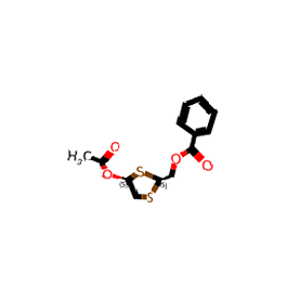 CC(=O)O[C@@H]1CS[C@H](COC(=O)c2ccccc2)S1